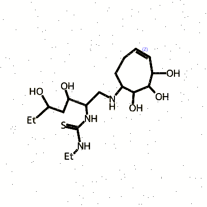 CCNC(=S)NC(CNC1CC/C=C\C(O)C(O)C1O)C(O)CC(O)CC